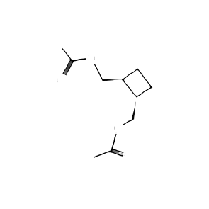 CC(=O)OC[C@H]1CC[C@H]1COC(C)=O